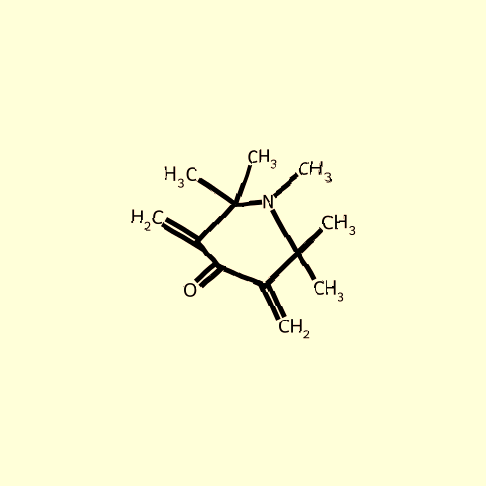 C=C1C(=O)C(=C)C(C)(C)N(C)C1(C)C